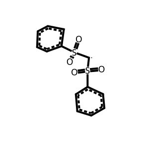 O=S(=O)([CH]S(=O)(=O)c1ccccc1)c1ccccc1